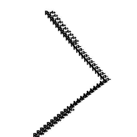 [N-3].[N-3].[N-3].[N-3].[N-3].[N-3].[N-3].[N-3].[N-3].[N-3].[N-3].[N-3].[N-3].[N-3].[N-3].[N-3].[N-3].[N-3].[N-3].[N-3].[N-3].[N-3].[N-3].[N-3].[Ru+4].[Ru+4].[Ru+4].[Ru+4].[Ru+4].[Ru+4].[Ru+4].[Ru+4].[Ru+4].[Ru+4].[Ru+4].[Ru+4].[Ru+4].[Ru+4].[Ru+4].[Ru+4].[Ru+4].[Ru+4].[Ru+4].[Ru+4]